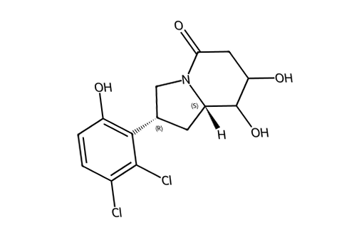 O=C1CC(O)C(O)[C@@H]2C[C@H](c3c(O)ccc(Cl)c3Cl)CN12